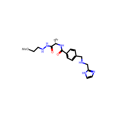 CCC[C@H](NC(=O)c1ccc(CNCc2ncc[nH]2)cc1)C(=O)NNCCOC